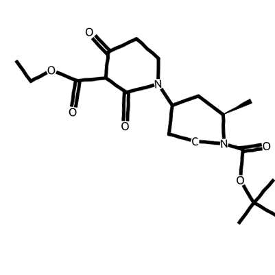 CCOC(=O)C1C(=O)CCN(C2CCN(C(=O)OC(C)(C)C)[C@H](C)C2)C1=O